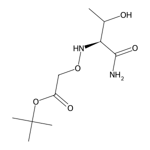 CC(O)[C@H](NOCC(=O)OC(C)(C)C)C(N)=O